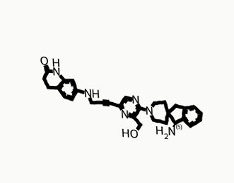 N[C@@H]1c2ccccc2CC12CCN(c1ncc(C#CCNc3ccc4c(c3)NC(=O)CC4)nc1CO)CC2